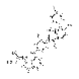 C[C@H](CO)Nc1n[nH]c2nccc(Oc3ccc(NC(=O)c4ccc(F)c(-c5ccc(F)cc5)[n+]4O)c(F)c3)c12